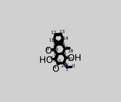 C/C=C1/C(=O)C(O)=C2C(=O)C3C4C=CC(C4)C3C(C)C2C1O